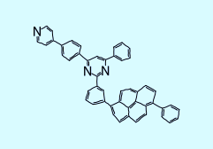 c1ccc(-c2cc(-c3ccc(-c4ccncc4)cc3)nc(-c3cccc(-c4ccc5ccc6c(-c7ccccc7)ccc7ccc4c5c76)c3)n2)cc1